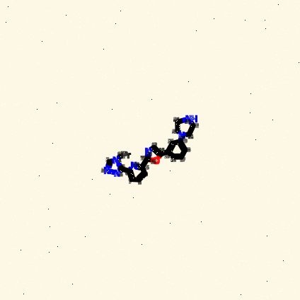 CC(C)n1cnnc1-c1cccc(-c2ncc(-c3cccc(N4CCNCC4)c3)o2)n1